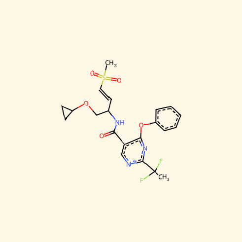 CC(F)(F)c1ncc(C(=O)NC(C=CS(C)(=O)=O)COC2CC2)c(Oc2ccccc2)n1